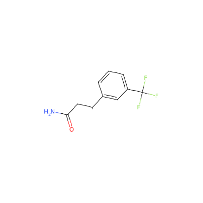 NC(=O)C[CH]c1cccc(C(F)(F)F)c1